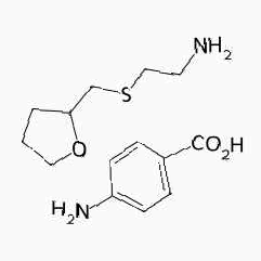 NCCSCC1CCCO1.Nc1ccc(C(=O)O)cc1